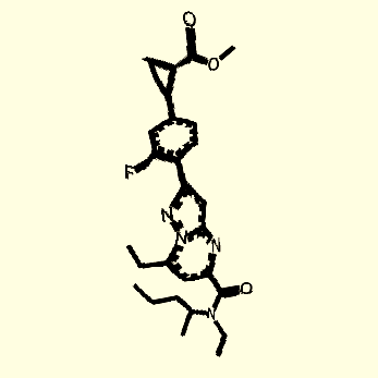 CCCC(C)N(CC)C(=O)c1cc(CC)n2nc(-c3ccc(C4C[C@H]4C(=O)OC)cc3F)cc2n1